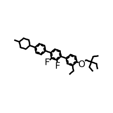 CCc1cc(-c2ccc(-c3ccc(C4CCC(C)CC4)cc3)c(F)c2F)ccc1OCC(CC)(CC)CC